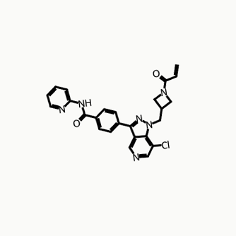 C=CC(=O)N1CC(Cn2nc(-c3ccc(C(=O)Nc4ccccn4)cc3)c3cncc(Cl)c32)C1